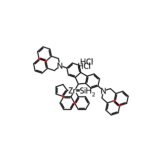 Cl.Cl.[SiH2]=[Zr]([C]1=CC=CC1)([c]1ccccc1)([c]1ccccc1)[CH]1c2cc(N(Cc3ccccc3)Cc3ccccc3)ccc2-c2ccc(N(Cc3ccccc3)Cc3ccccc3)cc21